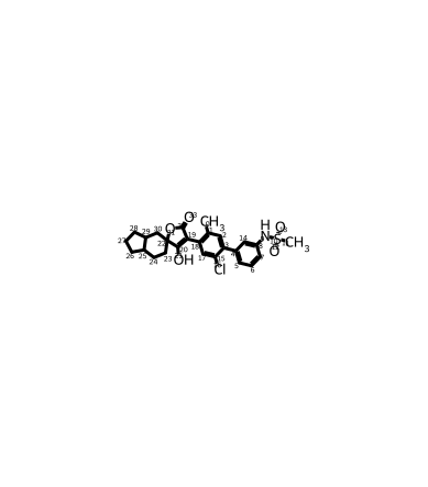 Cc1cc(-c2cccc(NS(C)(=O)=O)c2)c(Cl)cc1C1=C(O)C2(CCC3CCCC3C2)OC1=O